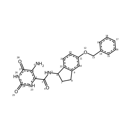 Nc1c(C(=O)NC2CCc3cc(OCc4ccccc4)ccc32)[nH]c(=O)[nH]c1=O